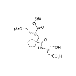 COCC[C@H](CC1(C(=O)N[C@H](CO)CC(=O)O)CCCC1)C(=O)OC(C)(C)C